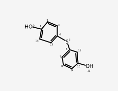 Oc1ccc(Sc2cccc(O)c2)cc1